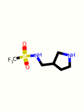 O=S(=O)(NCC1CCNC1)C(F)(F)F